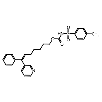 Cc1ccc(S(=O)(=O)NC(=O)OCCCCCC=C(c2ccccc2)c2cccnc2)cc1